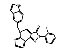 O=c1c2cn(Cc3ccc4[nH]ccc4c3)c3ccccc3c-2nn1-c1ccccc1F